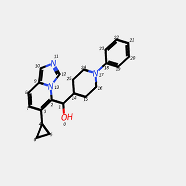 OC(c1c(C2CC2)ccc2cncn12)C1CCN(c2ccccc2)CC1